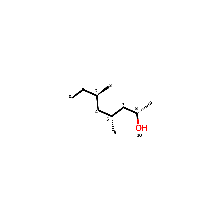 CC[C@@H](C)C[C@@H](C)C[C@H](C)O